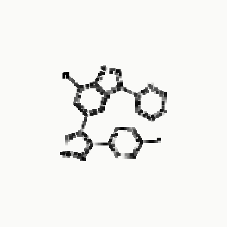 Fc1ccc(-c2n[nH]cc2-c2cc(Cl)c3ncc(-c4ccccn4)n3c2)cc1